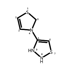 [CH]1SC=CN1C1=CSNN1